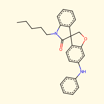 CCCCCN1C(=O)C2(COc3cc(Nc4ccccc4)ccc32)c2ccccc21